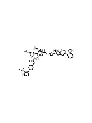 Cc1ncsc1-c1ccc(CNC(=O)[C@@H]2C[C@@H](O)CN2C(O)[C@@H](NC(=O)CCN2CC(c3cc4cc(-c5ccccc5O)nnc4[nH]3)C2)C(C)(C)C)cc1